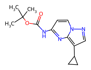 CC(C)(C)OC(=O)Nc1ccn2ncc(C3CC3)c2n1